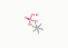 F[P-](F)(F)(F)(F)F.O=P(O)(O)O.[K+]